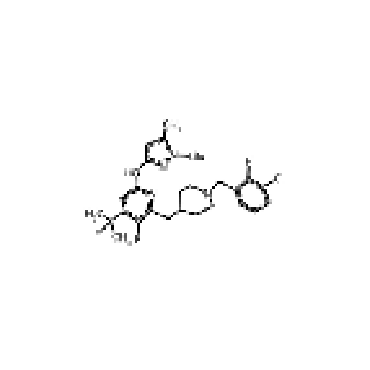 Cc1cc(Nc2cc(C(C)(C)F)c(F)c(CC3CCN(Cc4cccc(Cl)c4F)CC3)n2)nn1C(C)(C)C